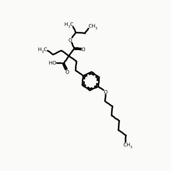 CCCCCCCOc1ccc(CCC(CCC)(C(=O)O)C(=O)OC(C)CC)cc1